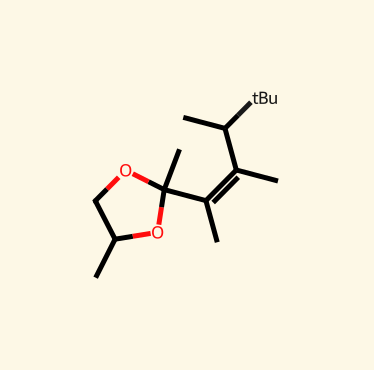 CC(=C(C)C1(C)OCC(C)O1)C(C)C(C)(C)C